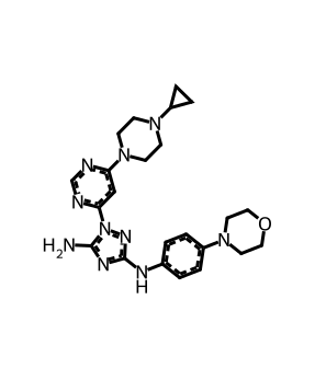 Nc1nc(Nc2ccc(N3CCOCC3)cc2)nn1-c1cc(N2CCN(C3CC3)CC2)ncn1